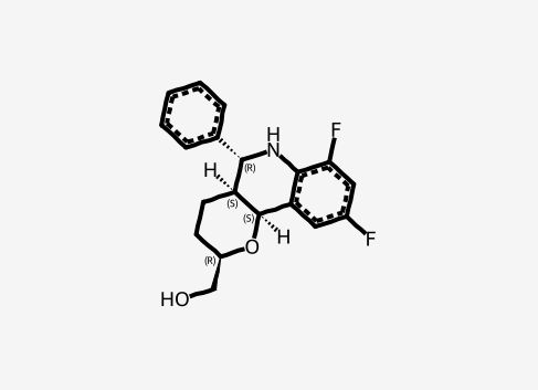 OC[C@H]1CC[C@@H]2[C@H](O1)c1cc(F)cc(F)c1N[C@H]2c1ccccc1